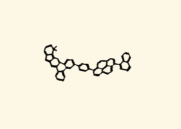 CC1(C)C=CC=C2C=c3cc4c5ccccc5c5cc(-c6ccc(-c7ccc8ccc9c(-c%10cccc%11ccccc%10%11)ccc%10ccc7c8c%109)cc6)ccc5c4cc3=C21